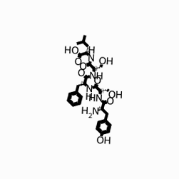 CC(C)C[C@H](NC(=O)[C@H](CO)NC(=O)[C@H](Cc1ccccc1)NC(=O)[C@H](CO)NC(=O)[C@@H](N)Cc1ccc(O)cc1)C(=O)O